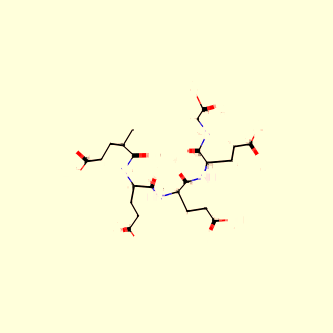 CC(CCC(=O)O)C(=O)NC(CCC(=O)O)C(=O)NC(CCC(=O)O)C(=O)NC(CCC(=O)O)C(=O)NCC(=O)O